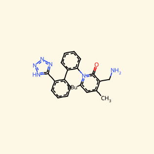 CCCCc1cc(C)c(CN)c(=O)n1-c1ccccc1-c1ccccc1-c1nnn[nH]1